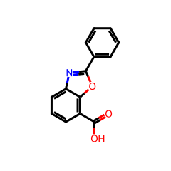 O=C(O)c1cccc2nc(-c3ccccc3)oc12